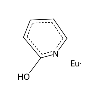 Oc1ccccn1.[Eu]